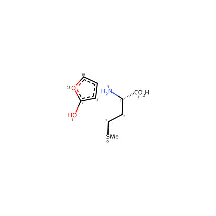 CSCC[C@H](N)C(=O)O.Oc1ccco1